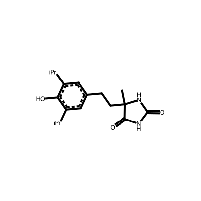 CC(C)c1cc(CCC2(C)NC(=O)NC2=O)cc(C(C)C)c1O